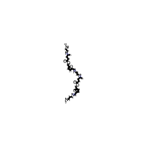 C=NCCC/N=C/c1ccc(COC(=O)CC/C(C)=N\CC/N=C/c2ccc(COC(=O)CC/C(C)=N/CCN=C)o2)o1